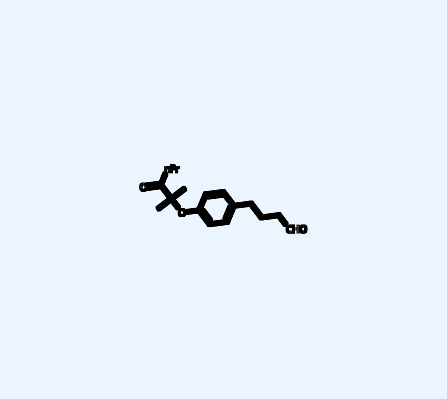 CCCC(=O)C(C)(C)Oc1ccc(CCCC=O)cc1